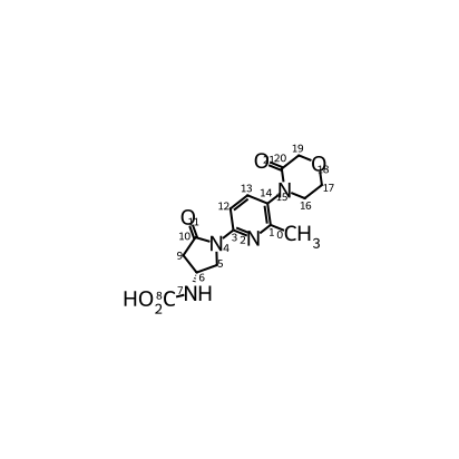 Cc1nc(N2C[C@H](NC(=O)O)CC2=O)ccc1N1CCOCC1=O